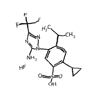 CC(C)c1cc(C2CC2)c(S(=O)(=O)O)cc1-n1nc(C(F)(F)F)nc1N.F